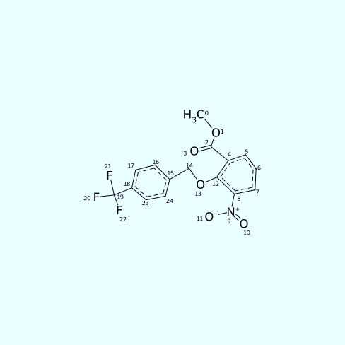 COC(=O)c1cccc([N+](=O)[O-])c1OCc1ccc(C(F)(F)F)cc1